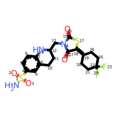 NS(=O)(=O)c1ccc2c(c1)CCC(CN1C(=O)SC(=C3CCC(F)(F)CC3)C1=O)N2